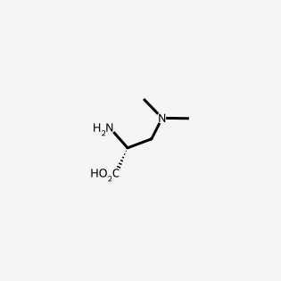 CN(C)C[C@@H](N)C(=O)O